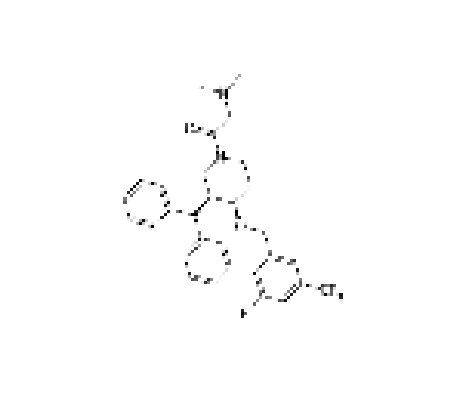 CN(C)CC(=O)N1CC[C@@H](OCc2cc(F)cc(C(F)(F)F)c2)[C@@H](C(c2ccccc2)c2ccccc2)C1